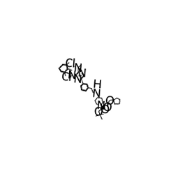 CN(C)c1ncc(-c2cccc(CCNC3CCN(C(=O)OC(C)(C)C)[C@@H](C(=O)OC4CCCC4)C3)c2)nc1N(C)Cc1c(Cl)cccc1Cl